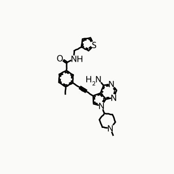 Cc1ccc(C(=O)NCc2ccsc2)cc1C#Cc1cn(C2CCN(C)CC2)c2ncnc(N)c12